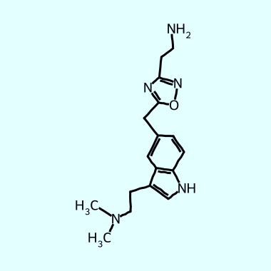 CN(C)CCc1c[nH]c2ccc(Cc3nc(CCN)no3)cc12